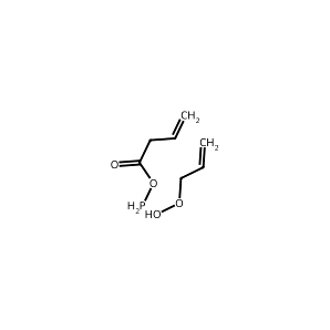 C=CCC(=O)OP.C=CCOO